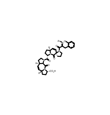 CC(=O)/N=C(/Cc1ccccc1Cl)C(=O)N1CCC[C@]12C=C[C@@H]1CC[C@@H](C(=O)N3CC[C@@H]4C=C[C@H]5CC[C@@H](C(=O)O)N5C(=O)C43)N1C2=O